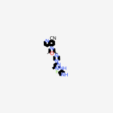 Cc1cc(N2CCN(C[C@H]3CN(c4ccc(C#N)c5ncccc45)C[C@@H](C)O3)CC2)nc(N[C@@H]2CNC[C@H]2F)n1